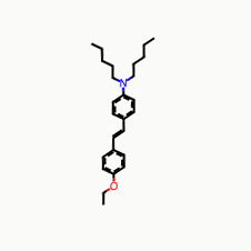 CCCCCN(CCCCC)c1ccc(C=Cc2ccc(OCC)cc2)cc1